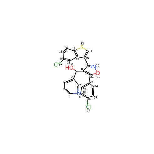 OC(c1cccnc1)c1c(-c2csc3ccc(Cl)cc23)noc1-c1ccc(Cl)cc1